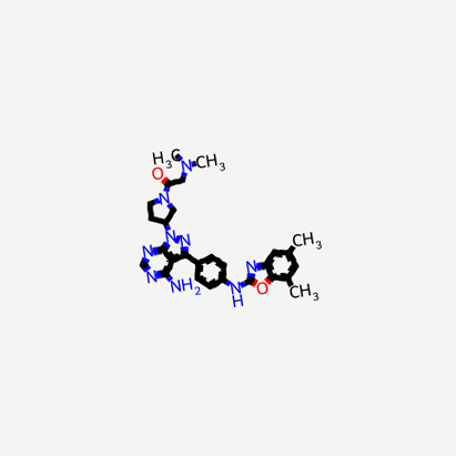 Cc1cc(C)c2oc(Nc3ccc(-c4nn(C5CCN(C(=O)CN(C)C)C5)c5ncnc(N)c45)cc3)nc2c1